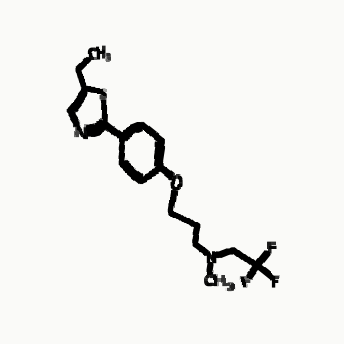 CCc1cnc(-c2ccc(OCCCN(C)CC(F)(F)F)cc2)s1